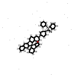 c1ccc(-n2c(-c3ccc(-c4ccc5c6c(ccc5c4)-c4cc5ccccc5cc4C64c5ccccc5-c5ccccc54)cc3)nc3ccccc32)cc1